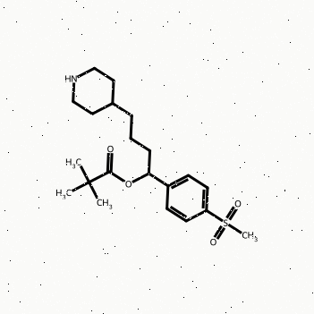 CC(C)(C)C(=O)OC(CCCC1CCNCC1)c1ccc(S(C)(=O)=O)cc1